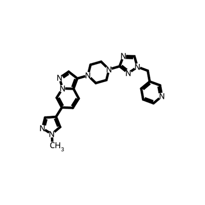 Cn1cc(-c2ccc3c(N4CCN(c5ncn(Cc6cccnc6)n5)CC4)cnn3c2)cn1